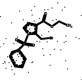 CCOC(=O)c1ccn(S(=O)(=O)c2ccccc2)c1CBr